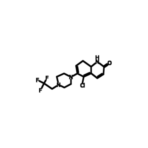 O=C1C=CC2=C(Cl)C(N3CCN(CC(F)(F)F)CC3)=CCC2N1